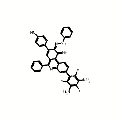 N#Cc1ccc(C2=Cc3c(-c4ccccc4)nc4cc(-c5c(F)c(N)c(F)c(N)c5F)ccc4c3C(=N)/C2=N\Nc2ccccc2)cc1